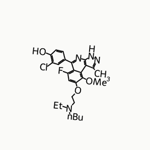 CCCCN(CC)CCOc1cc(F)c2c(-c3ccc(O)c(Cl)c3)nc3[nH]nc(C)c3c2c1OC